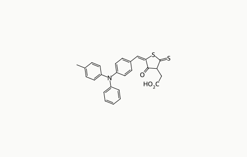 Cc1ccc(N(c2ccccc2)c2ccc(/C=C3/SC(=S)C(CC(=O)O)C3=O)cc2)cc1